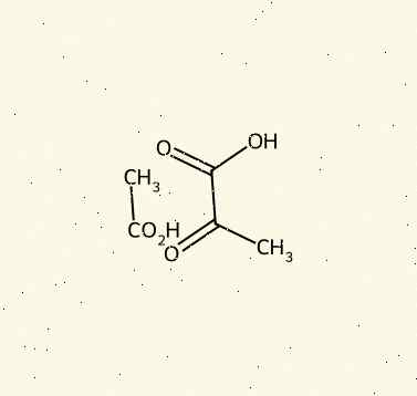 CC(=O)C(=O)O.CC(=O)O